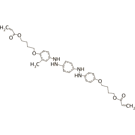 C=CC(=O)OCCCCOc1ccc(NNc2ccc(NNc3ccc(OCCCCOC(=O)C=C)c(C)c3)cc2)cc1